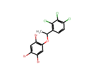 CC(Oc1cc(Br)c(Br)cc1Br)c1ccc(Cl)c(Cl)c1Cl